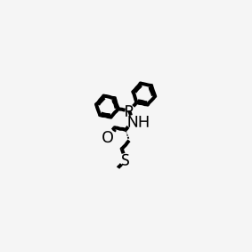 CSCC[C@H](C=O)NP(c1ccccc1)c1ccccc1